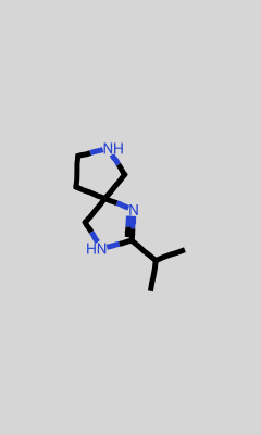 CC(C)C1=NC2(CCNC2)CN1